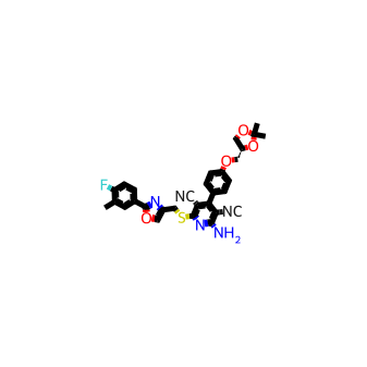 [C-]#[N+]c1c(N)nc(SCc2coc(-c3ccc(F)c(C)c3)n2)c(C#N)c1-c1ccc(OC[C@@H]2COC(C)(C)O2)cc1